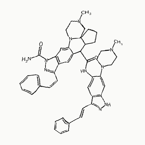 CN1CCN(c2cc3[nH]nc(C=Cc4ccccc4)c3cc2NC(=O)C(c2cc3c(C=Cc4ccccc4)nn(C(N)=O)c3cc2N2CCN(C)CC2)C2CCCC2)CC1